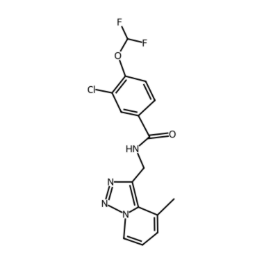 Cc1cccn2nnc(CNC(=O)c3ccc(OC(F)F)c(Cl)c3)c12